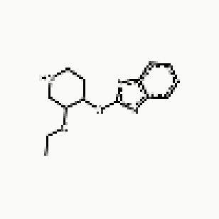 CCOC1CNCCC1Oc1nc2ccccc2s1